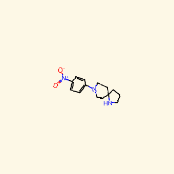 O=[N+]([O-])c1ccc(N2CCC3(CCCN3)CC2)cc1